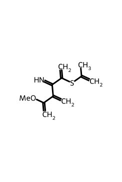 C=C(C)SC(=C)C(=N)C(=C)C(=C)OC